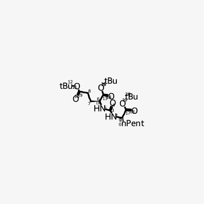 CCCCC[C@H](NC(=O)N[C@@H](CCC(=O)OC(C)(C)C)C(=O)OC(C)(C)C)C(=O)OC(C)(C)C